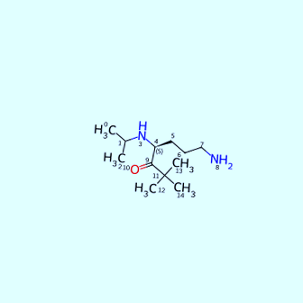 CC(C)N[C@@H](CCCN)C(=O)C(C)(C)C